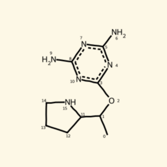 CC(Oc1nc(N)nc(N)n1)C1CCCN1